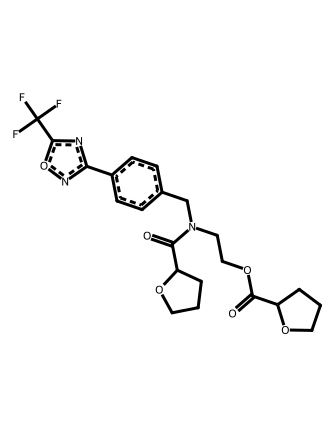 O=C(OCCN(Cc1ccc(-c2noc(C(F)(F)F)n2)cc1)C(=O)C1CCCO1)C1CCCO1